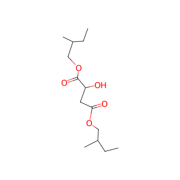 CCC(C)COC(=O)CC(O)C(=O)OCC(C)CC